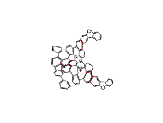 c1ccc(-c2ccc3c4ccc(-c5ccccc5)cc4n(-c4cc5c6c(c4)N(c4c(-c7ccccc7)cccc4-c4ccccc4)c4cc(-c7ccc8oc9ccccc9c8c7)ccc4B6c4ccc(-c6ccc7oc8ccccc8c7c6)cc4N5c4c(-c5ccccc5)cccc4-c4ccccc4)c3c2)cc1